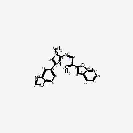 C=C(/C=N\c1nc(-c2ccc3ocnc3c2)cn1C)c1cc2cccnc2o1